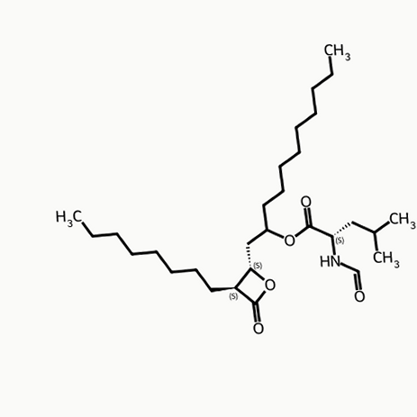 CCCCCCCCCC(C[C@@H]1OC(=O)[C@H]1CCCCCCCC)OC(=O)[C@H](CC(C)C)NC=O